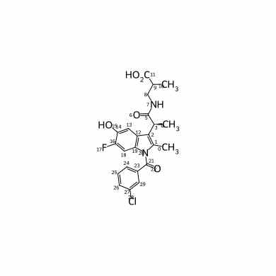 Cc1c([C@H](C)C(=O)NCC(C)C(=O)O)c2cc(O)c(F)cc2n1C(=O)c1cccc(Cl)c1